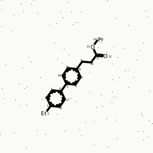 CCc1ccc(-c2ccc(CCC(=O)OC(C)C)cc2)cc1